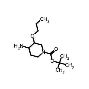 CCCOC1CN(C(=O)OC(C)(C)C)CCC1N